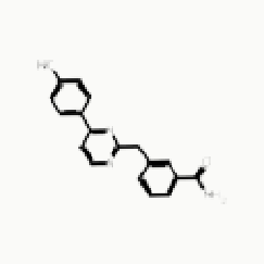 N#Cc1ccc(-c2ccnc(Cc3cccc(C(N)=O)c3)n2)cc1